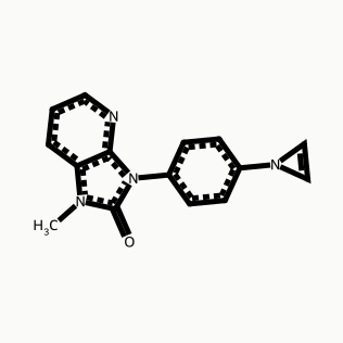 Cn1c(=O)n(-c2ccc(N3C=C3)cc2)c2ncccc21